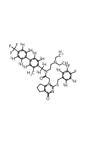 [2H]c1c([2H])c(CSc2nc(=O)c3c(n2CC(=O)N(CCN(CC)CC)C([2H])([2H])c2c([2H])c([2H])c(-c4c([2H])c([2H])c(C(F)(F)F)c([2H])c4[2H])c([2H])c2C)CCC3)c([2H])c([2H])c1F